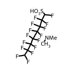 CNC.O=S(=O)(O)C(F)C(F)(F)C(F)(F)C(F)(F)C(F)(F)C(F)(F)C(F)(F)C(F)F